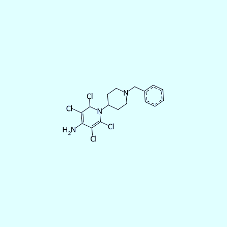 NC1=C(Cl)C(Cl)N(C2CCN(Cc3ccccc3)CC2)C(Cl)=C1Cl